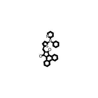 O=C1C(=Cc2ccc(N(c3ccccc3)c3ccccn3)s2)C(=O)c2c1c1ccccc1c1ccccc21